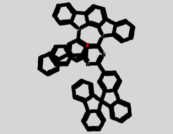 c1ccc(-c2cccc(-n3c4ccccc4c4ccc5c6ccccc6n(-c6nc(-c7ccccc7)nc(-c7ccc8c(c7)C7(c9ccccc9-c9ccccc97)c7ccccc7-8)n6)c5c43)c2)cc1